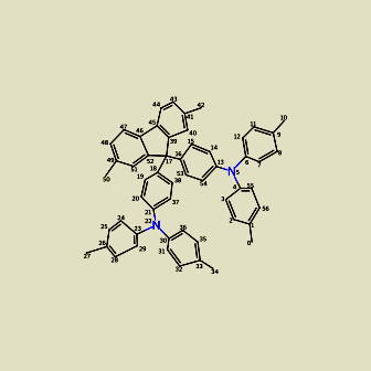 Cc1ccc(N(c2ccc(C)cc2)c2ccc(C3(c4ccc(N(c5ccc(C)cc5)c5ccc(C)cc5)cc4)c4cc(C)ccc4-c4ccc(C)cc43)cc2)cc1